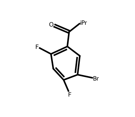 CC(C)C(=O)c1cc(Br)c(F)cc1F